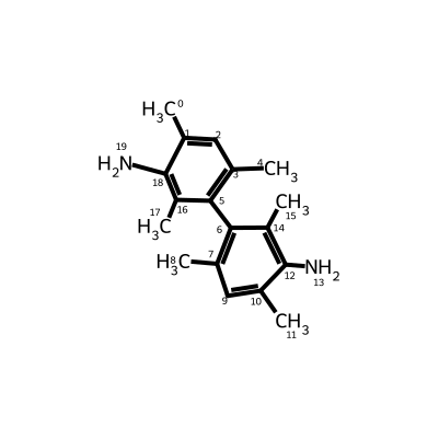 Cc1cc(C)c(-c2c(C)cc(C)c(N)c2C)c(C)c1N